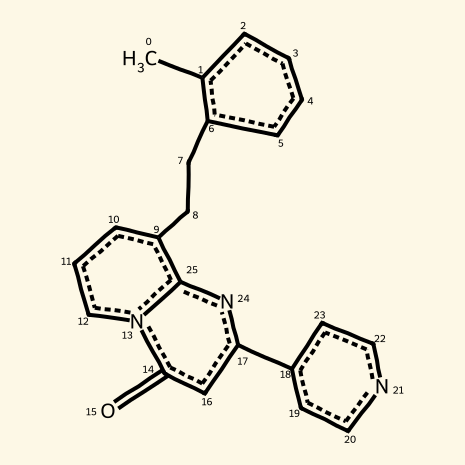 Cc1ccccc1CCc1cccn2c(=O)cc(-c3ccncc3)nc12